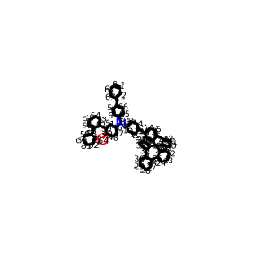 c1ccc(-c2ccc(N(c3ccc(-c4ccc5c(c4)C4(c6ccccc6-c6ccccc6-c6ccccc64)c4ccccc4-5)cc3)c3ccc4c(c3)-c3ccccc3-c3ccccc3O4)cc2)cc1